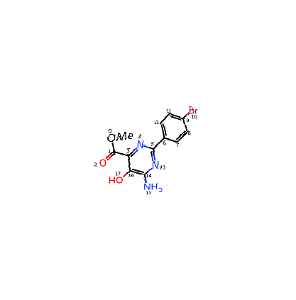 COC(=O)c1nc(-c2ccc(Br)cc2)nc(N)c1O